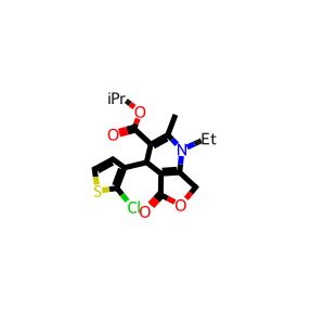 CCN1C(C)=C(C(=O)OC(C)C)C(c2ccsc2Cl)C2=C1COC2=O